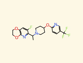 CC(c1nc2c(cc1F)OCCO2)N1CCC(Oc2ccc(C(F)(F)F)cn2)CC1